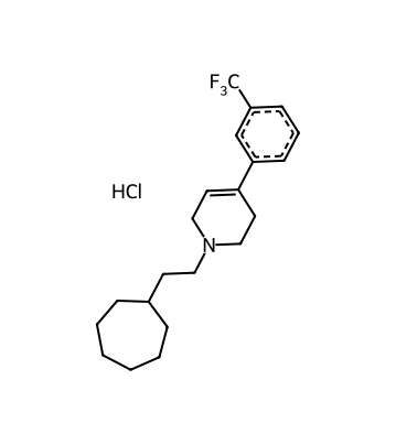 Cl.FC(F)(F)c1cccc(C2=CCN(CCC3CCCCCC3)CC2)c1